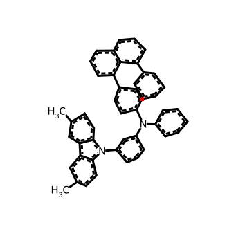 Cc1ccc2c(c1)c1cc(C)ccc1n2-c1cccc(N(c2ccccc2)c2ccc(-c3cccc4cccc(-c5ccccc5)c34)cc2)c1